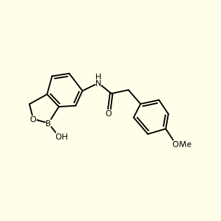 COc1ccc(CC(=O)Nc2ccc3c(c2)B(O)OC3)cc1